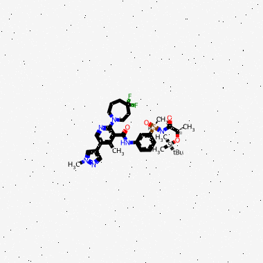 Cc1c(-c2cnn(C)c2)cnc(N2CCCC(F)(F)CC2)c1C(=O)Nc1cccc([S@@](C)(=O)=NC(=O)[C@H](C)O[Si](C)(C)C(C)(C)C)c1